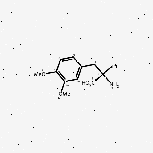 COc1ccc(C[C@](N)(C(=O)O)C(C)C)cc1OC